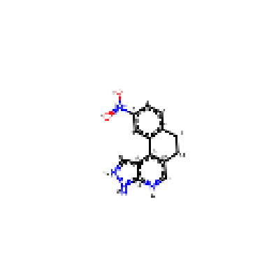 O=[N+]([O-])c1ccc2c(c1)-c1c(cnc3[nH]ncc13)CC2